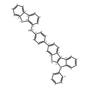 c1ccc(-n2c3ccccc3c3c4ccc(-c5ccc(Nc6cccc7c6oc6ccccc67)cc5)cc4oc32)cc1